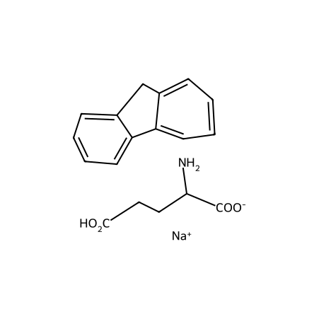 NC(CCC(=O)O)C(=O)[O-].[Na+].c1ccc2c(c1)Cc1ccccc1-2